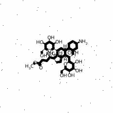 COC(=O)CC[C@@H](C)[C@H]1CC[C@H]2[C@@H]3[C@@H]([C@@H]4O[C@H](CO)[C@@H](O)[C@H](O)[C@H]4O)C[C@@H]4C[C@H](N)CC[C@]4(C)[C@H]3CC([C@@H]3O[C@H](CO)[C@@H](O)[C@H](O)[C@H]3O)[C@]12C